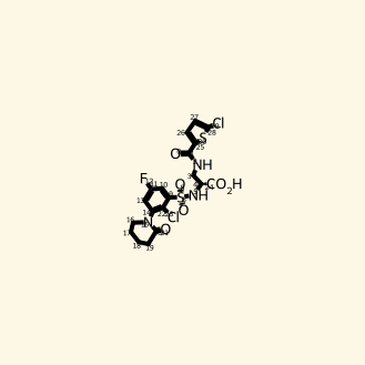 O=C(NC[C@H](NS(=O)(=O)c1cc(F)cc(N2CCCCC2=O)c1Cl)C(=O)O)c1ccc(Cl)s1